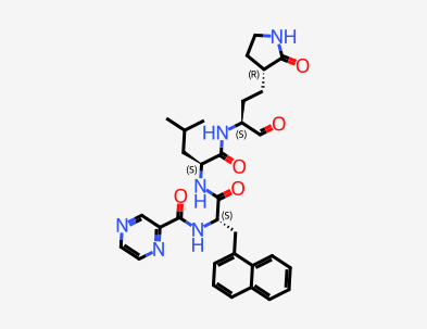 CC(C)C[C@H](NC(=O)[C@H](Cc1cccc2ccccc12)NC(=O)c1cnccn1)C(=O)N[C@H](C=O)CC[C@@H]1CCNC1=O